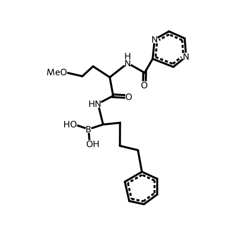 COCCC(NC(=O)c1cnccn1)C(=O)NC(CCCc1ccccc1)B(O)O